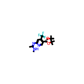 CN/C(C)=N\c1cc(C(F)(F)F)c(B2OC(C)(C)C(C)(C)O2)cn1